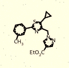 CCOC(=O)c1cnn(Cc2nc(-c3cccc(C)c3)sc2C2CC2)c1